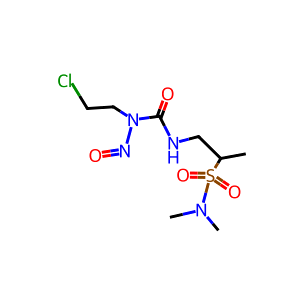 CC(CNC(=O)N(CCCl)N=O)S(=O)(=O)N(C)C